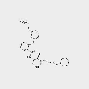 O=C(O)CCc1cccc(Cc2ccccc2C(=O)NC(CO)C(=O)NCCCCC2CCCCC2)c1